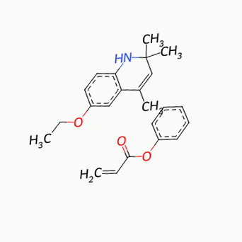 C=CC(=O)Oc1ccccc1.CCOc1ccc2c(c1)C(C)=CC(C)(C)N2